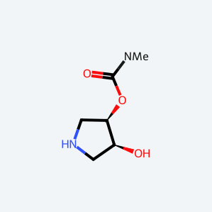 CNC(=O)O[C@@H]1CNC[C@@H]1O